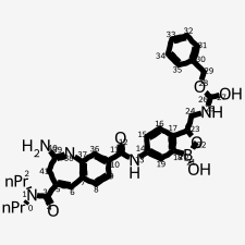 CCCN(CCC)C(=O)C1=Cc2ccc(C(=O)Nc3ccc4c(c3)B(O)OC4CNC(O)OCc3ccccc3)cc2N=C(N)C1